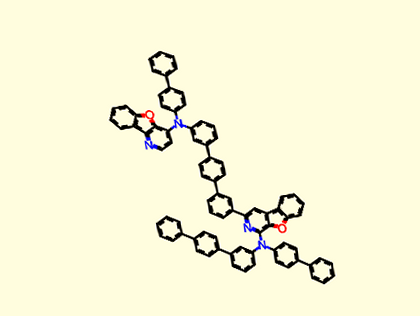 c1ccc(-c2ccc(-c3cccc(N(c4ccc(-c5ccccc5)cc4)c4nc(-c5cccc(-c6ccc(-c7cccc(N(c8ccc(-c9ccccc9)cc8)c8ccnc9c8oc8ccccc89)c7)cc6)c5)cc5c4oc4ccccc45)c3)cc2)cc1